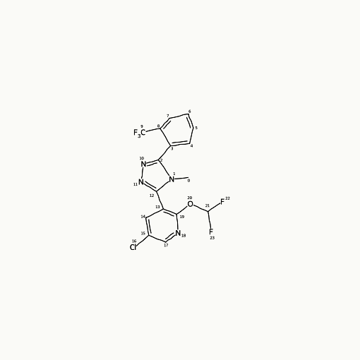 Cn1c(-c2ccccc2C(F)(F)F)nnc1-c1cc(Cl)cnc1OC(F)F